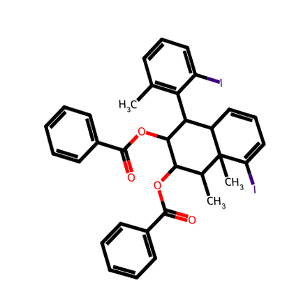 Cc1cccc(I)c1C1C(OC(=O)c2ccccc2)C(OC(=O)c2ccccc2)C(C)C2(C)C(I)=CC=CC12